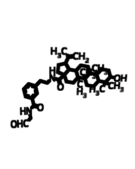 C=C(C)C1CCC2(C(=O)NCCc3cccc(C(=O)NCC=O)c3)CC[C@]3(C)C(CCC4C5(C)CCC(O)C(C)(C)C5CCC43C)C12